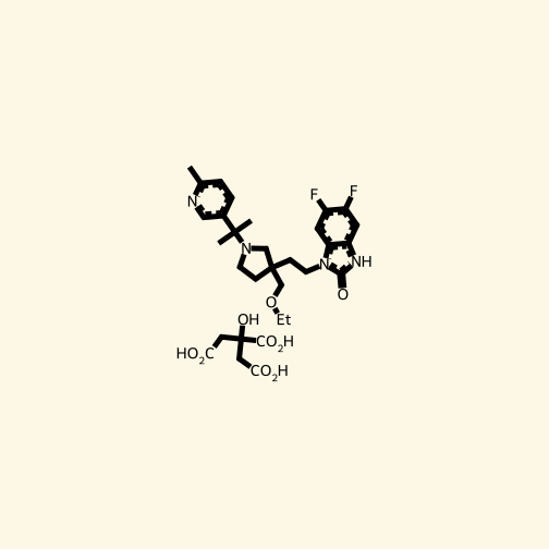 CCOCC1(CCn2c(=O)[nH]c3cc(F)c(F)cc32)CCN(C(C)(C)c2ccc(C)nc2)C1.O=C(O)CC(O)(CC(=O)O)C(=O)O